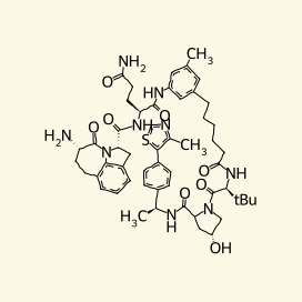 Cc1cc(CCCCCC(=O)N[C@H](C(=O)N2C[C@H](O)CC2C(=O)N[C@@H](C)c2ccc(-c3scnc3C)cc2)C(C)(C)C)cc(NC(=O)[C@H](CCC(N)=O)NC(=O)[C@@H]2Cc3cccc4c3N2C(=O)[C@@H](N)CC4)c1